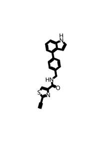 C#Cc1nc(C(=O)NCc2ccc(-c3cccc4[nH]ccc34)cc2)cs1